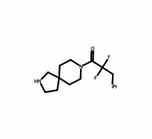 CC(C)CC(F)(F)C(=O)N1CCC2(CCNC2)CC1